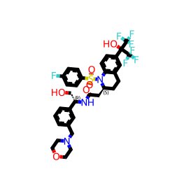 O=C(C[C@@H]1CCc2cc(C(O)(C(F)(F)F)C(F)(F)F)ccc2N1S(=O)(=O)c1ccc(F)cc1)N[C@@H](CO)c1cccc(CN2CCOCC2)c1